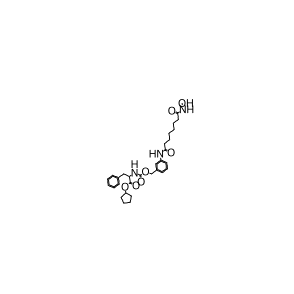 O=C(CCCCCCC(=O)Nc1cccc(COC(=O)NC(Cc2ccccc2)C(=O)OC2CCCC2)c1)NO